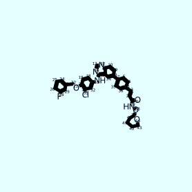 O=C(C=Cc1ccc(-c2ccc3ncnc(Nc4ccc(OCc5cccc(F)c5)c(Cl)c4)c3c2)cc1)NOC1CCCCO1